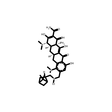 B=C1C(C(N)=O)=C(O)[C@@H](N(C)C)[C@@H]2C[C@@H]3Cc4c(c(O)cc(CN(CC)C[C@H]5CC6CC5C6(C)C)c4N(C)C)C(=O)C3=C(O)[C@]12P